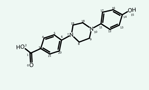 O=C(O)c1ccc(N2CCN(c3ccc(O)cc3)CC2)cc1